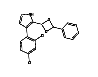 Clc1ccc(-c2cc[nH]c2C2OC(c3ccccc3)O2)c(Cl)c1